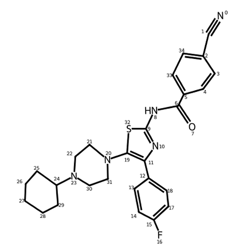 N#Cc1ccc(C(=O)Nc2nc(-c3ccc(F)cc3)c(N3CCN(C4CCCCC4)CC3)s2)cc1